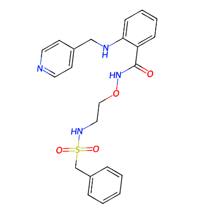 O=C(NOCCNS(=O)(=O)Cc1ccccc1)c1ccccc1NCc1ccncc1